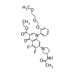 CCOC(=O)c1cn(-c2ccccc2OCOCCOC)c2cc(N3CCC(NC(C)=O)C3)c(F)c(F)c2c1=O